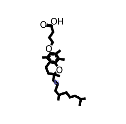 Cc1c(C)c2c(c(C)c1OCCCC(=O)O)CCC(C)(/C=C/CC(C)CCCC(C)C)O2